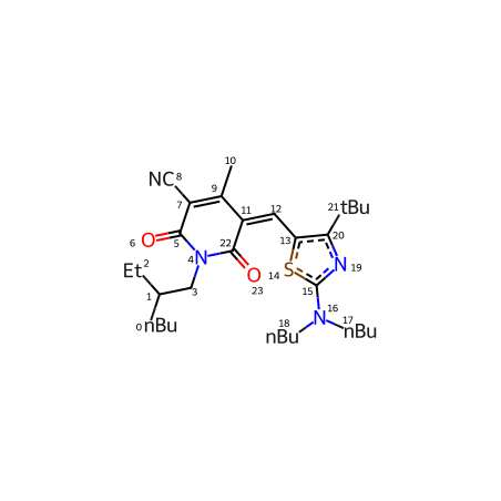 CCCCC(CC)CN1C(=O)C(C#N)=C(C)/C(=C/c2sc(N(CCCC)CCCC)nc2C(C)(C)C)C1=O